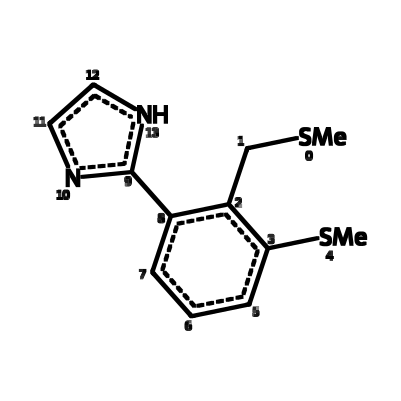 CSCc1c(SC)cccc1-c1ncc[nH]1